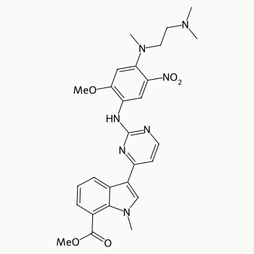 COC(=O)c1cccc2c(-c3ccnc(Nc4cc([N+](=O)[O-])c(N(C)CCN(C)C)cc4OC)n3)cn(C)c12